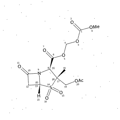 COC(=O)OCOC(=O)[C@@H]1N2C(=O)C[C@H]2S(=O)(=O)[C@@]1(C)COC(C)=O